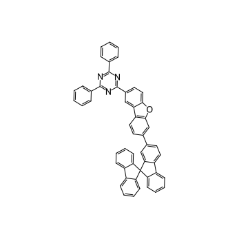 c1ccc(-c2nc(-c3ccccc3)nc(-c3ccc4oc5cc(-c6ccc7c(c6)C6(c8ccccc8-c8ccccc86)c6ccccc6-7)ccc5c4c3)n2)cc1